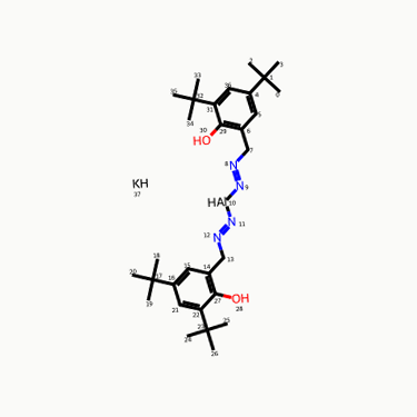 CC(C)(C)c1cc(CN=[N][AlH][N]=NCc2cc(C(C)(C)C)cc(C(C)(C)C)c2O)c(O)c(C(C)(C)C)c1.[KH]